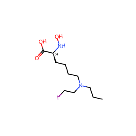 CCCN(CCI)CCCC[C@H](NO)C(=O)O